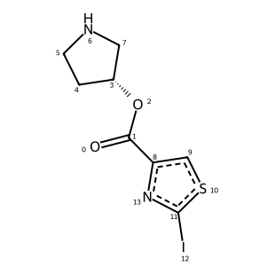 O=C(O[C@@H]1CCNC1)c1csc(I)n1